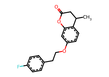 CC1CC(=O)Oc2cc(OCCc3ccc(F)cc3)ccc21